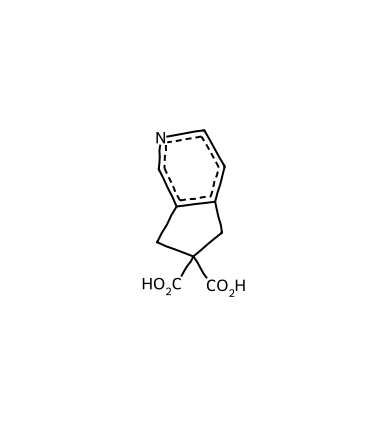 O=C(O)C1(C(=O)O)Cc2ccncc2C1